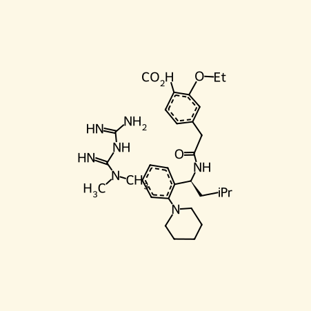 CCOc1cc(CC(=O)N[C@@H](CC(C)C)c2ccccc2N2CCCCC2)ccc1C(=O)O.CN(C)C(=N)NC(=N)N